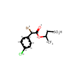 O=C(OC(CS(=O)(=O)O)C(F)(F)F)C(Br)c1ccc(Cl)cc1